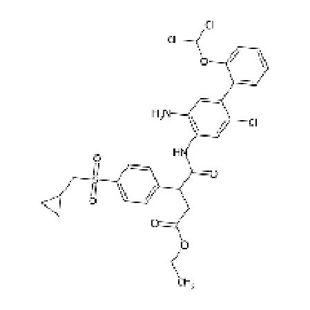 CCOC(=O)CC(C(=O)Nc1cc(Cl)c(-c2ccccc2OC(Cl)Cl)cc1N)c1ccc(S(=O)(=O)CC2CC2)cc1